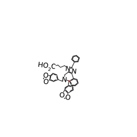 O=C(O)CCCn1c(-c2ccccc2)nc(-c2ccccc2)c1CN(Cc1ccc2c(c1)OCO2)Cc1ccc2c(c1)OCO2